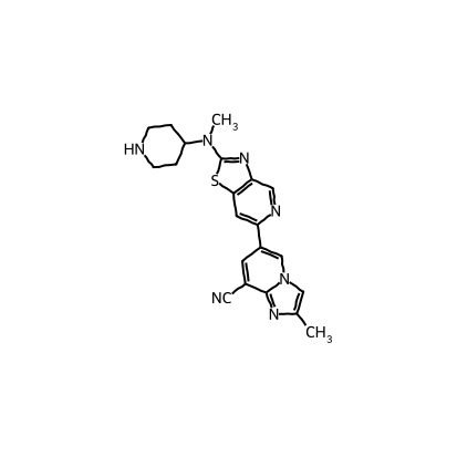 Cc1cn2cc(-c3cc4sc(N(C)C5CCNCC5)nc4cn3)cc(C#N)c2n1